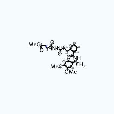 COC(=O)/C=C/C(=O)NNC(=O)CCc1ccccc1C(=O)N[C@H](C)c1ccc(OC)c(OC)c1